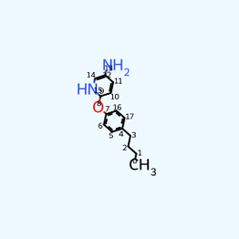 CCCCc1ccc(OC2C=CC(N)=CN2)cc1